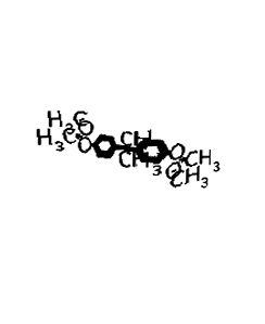 COC(C)Oc1ccc(C(C)(C)c2ccc(OC(C)OC)cc2)cc1